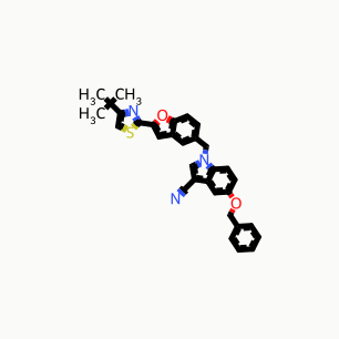 CC(C)(C)c1csc(-c2cc3cc(Cn4cc(C#N)c5cc(OCc6ccccc6)ccc54)ccc3o2)n1